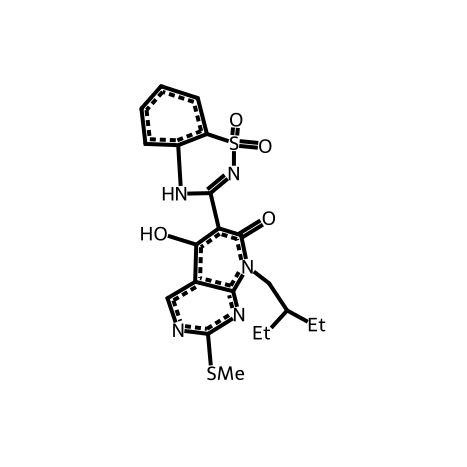 CCC(CC)Cn1c(=O)c(C2=NS(=O)(=O)c3ccccc3N2)c(O)c2cnc(SC)nc21